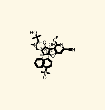 COc1nc(C#N)cc2c1[C@]1(O)[C@H](O)[C@H](CN(C)CC(C)(C)O)[C@@H](c3ccccc3)[C@]1(c1ccc(P(C)(C)=O)cc1)O2